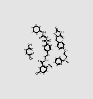 CN(CCOc1ccc(CC2SC(=O)NC2=O)cc1)c1ccccn1.COc1ccc(Cl)cc1C(=O)NCCc1ccc(S(=O)(=O)NC(=O)NC2CCCCC2)cc1.O=C(O)/C=C\C(=O)O